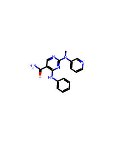 CN(c1cccnc1)c1ncc(C(N)=O)c(Nc2ccccc2)n1